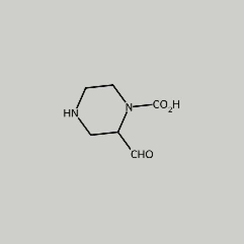 O=CC1CNCCN1C(=O)O